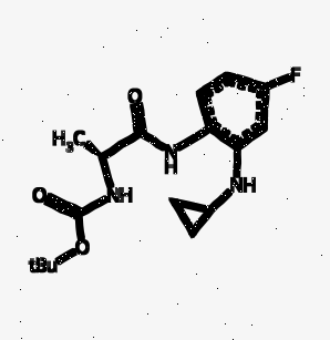 C[C@H](NC(=O)OC(C)(C)C)C(=O)Nc1ccc(F)cc1NC1CC1